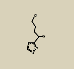 CCC(CCCCl)c1ccon1